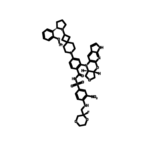 CC(C)Oc1ccccc1[C@@H]1CCCN1C1CC2(CCN(c3ccc(C(=O)NS(=O)(=O)c4ccc(NC[C@@]5(F)COCCO5)c([N+](=O)[O-])c4)c(N4c5cc6cc[nH]c6nc5O[C@@H]5COC[C@H]54)c3)CC2)C1